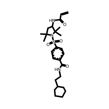 C=CC(=O)NC1CC(C)(C)N(S(=O)(=O)c2ccc(C(=O)NCCC3CCCCC3)cc2)C1(C)C